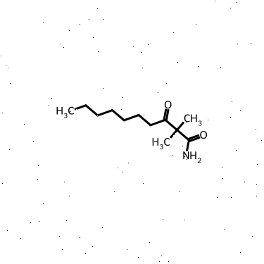 CCCCCCCC(=O)C(C)(C)C(N)=O